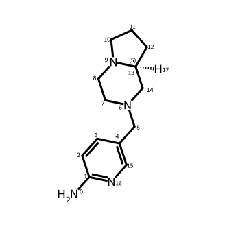 Nc1ccc(CN2CCN3CCC[C@H]3C2)cn1